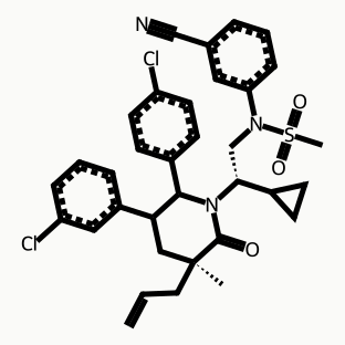 C=CC[C@@]1(C)CC(c2cccc(Cl)c2)C(c2ccc(Cl)cc2)N([C@H](CN(c2cccc(C#N)c2)S(C)(=O)=O)C2CC2)C1=O